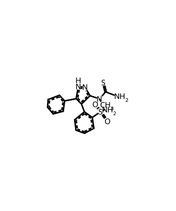 CN(C(N)=S)c1n[nH]c(-c2ccccc2)c1-c1ccccc1S(N)(=O)=O